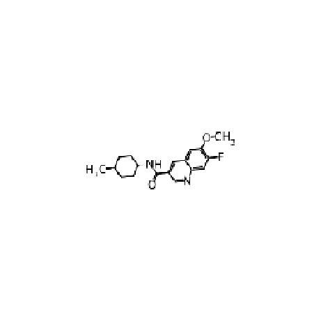 COc1cc2cc(C(=O)N[C@H]3CC[C@H](C)CC3)cnc2cc1F